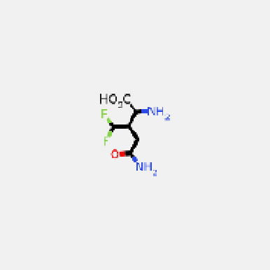 NC(=O)CC(C(F)F)[C@H](N)C(=O)O